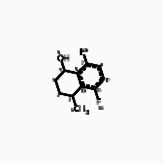 CC1CCC(O)c2c(F)ccc(F)c21